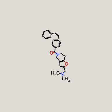 CN(C)Cc1cc2c(o1)CCN(C(=O)c1ccc(/C=C\c3ccccc3)cc1)C2